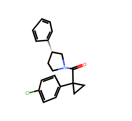 O=C(N1CC[C@H](c2ccccc2)C1)C1(c2ccc(Cl)cc2)CC1